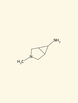 CN1CC2C(N)C2C1